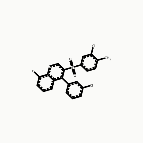 Cc1ccc(S(=O)(=O)c2cnc3c(F)cccc3c2-c2cccc(Cl)c2)cc1Cl